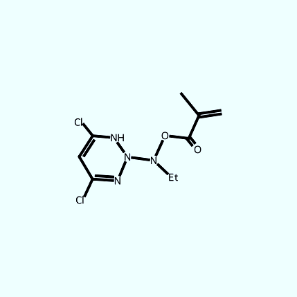 C=C(C)C(=O)ON(CC)N1N=C(Cl)C=C(Cl)N1